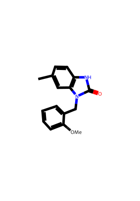 COc1ccccc1Cn1c(=O)[nH]c2ccc(C)cc21